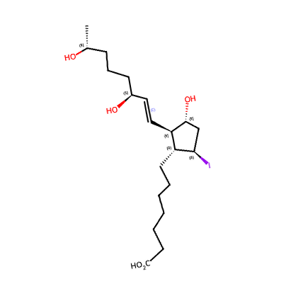 C[C@@H](O)CCC[C@H](O)/C=C/[C@@H]1[C@@H](CCCCCCC(=O)O)[C@H](I)C[C@H]1O